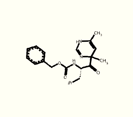 CC1=CC(C)(C(=O)[C@H](CC(C)C)NC(=O)OCc2ccccc2)N=[C]N1